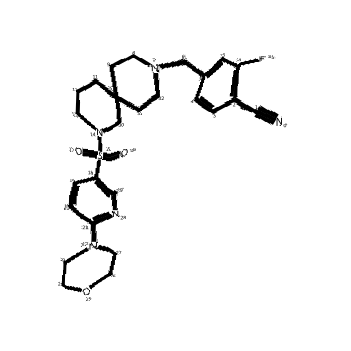 N#Cc1ccc(CN2CCC3(CCCN(S(=O)(=O)c4ccc(N5CCOCC5)nc4)C3)CC2)cc1F